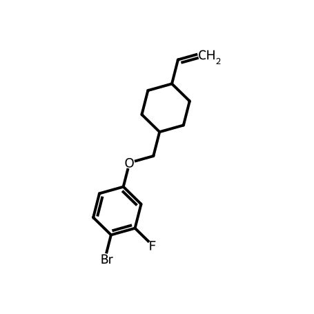 C=CC1CCC(COc2ccc(Br)c(F)c2)CC1